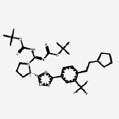 CC(C)(C)OC(=O)/N=C(\NC(=O)OC(C)(C)C)N1CCC[C@H]1c1nc(-c2ccc(CCC3CCCC3)c(C(F)(F)F)c2)no1